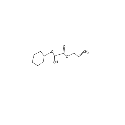 C=CCOC(=O)C(O)OC1CCCCC1